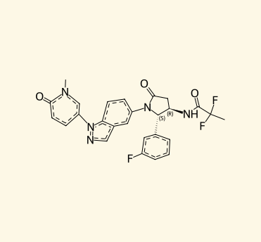 Cn1cc(-n2ncc3cc(N4C(=O)C[C@@H](NC(=O)C(C)(F)F)[C@@H]4c4cccc(F)c4)ccc32)ccc1=O